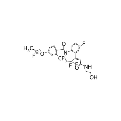 C[C@H](F)COc1ccc(C(=O)N2CCC(F)(F)C(=CC(=O)NCCO)c3cc(F)ccc32)c(C(F)(F)F)c1